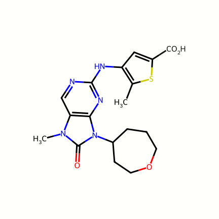 Cc1sc(C(=O)O)cc1Nc1ncc2c(n1)n(C1CCCOCC1)c(=O)n2C